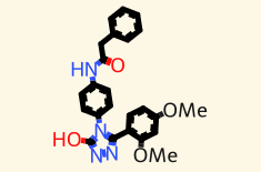 COc1ccc(-c2nnc(O)n2-c2ccc(NC(=O)Cc3ccccc3)cc2)c(OC)c1